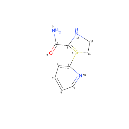 NC(=O)C1=S(c2ccccn2)CCN1